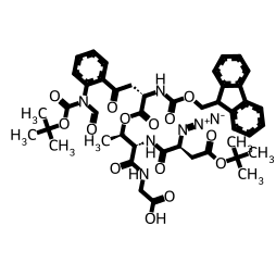 C[C@@H](OC(=O)[C@H](CC(=O)c1ccccc1N(C=O)C(=O)OC(C)(C)C)NC(=O)OCC1c2ccccc2-c2ccccc21)[C@H](NC(=O)[C@H](CC(=O)OC(C)(C)C)N=[N+]=[N-])C(=O)NCC(=O)O